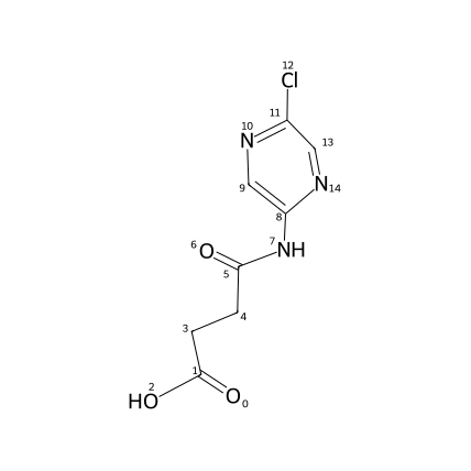 O=C(O)CCC(=O)Nc1cnc(Cl)cn1